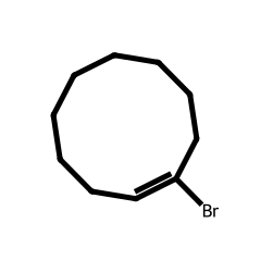 Br/C1=C/CCCCCCCC1